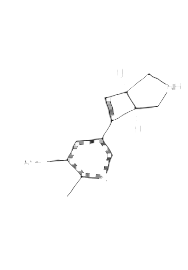 COc1cc(C2=C[C@H]3CNC[C@@H]23)cnc1C